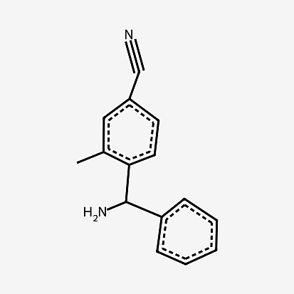 Cc1cc(C#N)ccc1C(N)c1ccccc1